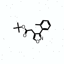 Cc1ccccc1-c1nocc1CC(=O)OC(C)(C)C